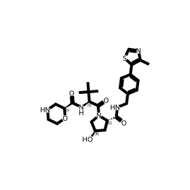 Cc1ncsc1-c1ccc(CNC(=O)[C@@H]2C[C@@H](O)CN2C(=O)[C@@H](NC(=O)[C@@H]2CNCCO2)C(C)(C)C)cc1